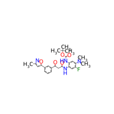 Cc1cc(-c2cccc(C(=O)CC(=O)Nc3cc(F)c(N(C)C)cc3NC(=O)OC(C)(C)C)c2)on1